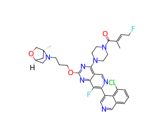 C/C(=C\CF)C(=O)N1CCN(c2nc(OCCCN3C[C@@H]4C[C@@]3(C)CO4)nc3c(F)c(-c4cncc5cccc(Cl)c45)ncc23)CC1